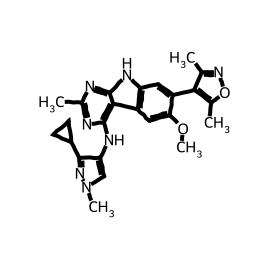 COc1cc2c(cc1-c1c(C)noc1C)[nH]c1nc(C)nc(Nc3cn(C)nc3C3CC3)c12